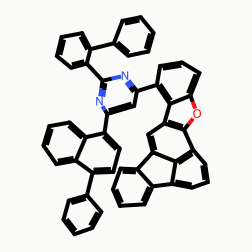 c1ccc(-c2ccccc2-c2nc(-c3ccc(-c4ccccc4)c4ccccc34)cc(-c3cccc4oc5c6cccc7c6c(cc5c34)-c3ccccc3-7)n2)cc1